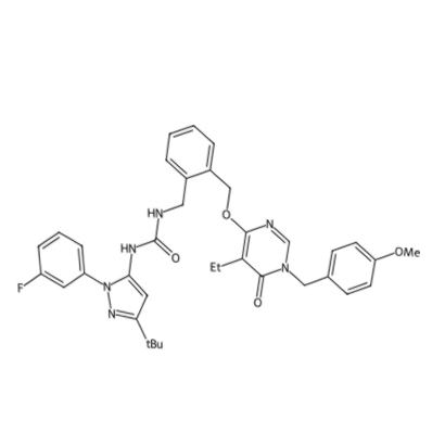 CCc1c(OCc2ccccc2CNC(=O)Nc2cc(C(C)(C)C)nn2-c2cccc(F)c2)ncn(Cc2ccc(OC)cc2)c1=O